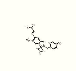 CCN(C)C=Nc1cc(F)c(C2(OCc3ccc(C#N)cc3)COC2)cc1C